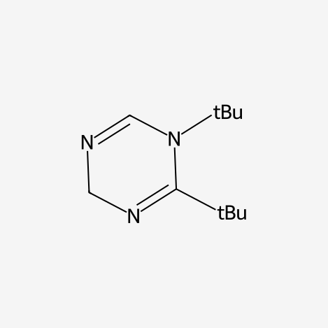 CC(C)(C)C1=NCN=CN1C(C)(C)C